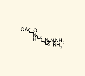 CC(=O)OCC(=O)NCCSCc1csc(N=C(N)N)n1